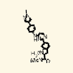 CNC(=O)C1Cc2ccc(-c3nccc(Nc4ccc(-c5cn[nH]c5)cc4)n3)cc2N1C